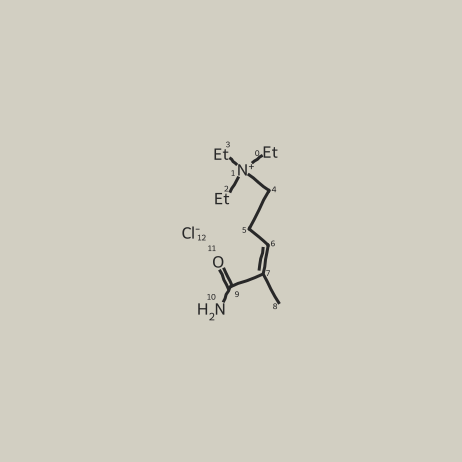 CC[N+](CC)(CC)CCC=C(C)C(N)=O.[Cl-]